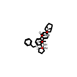 COc1cccc(C(=O)NC2CC3CCC(C2)N3c2ccc(C(=O)N[C@H]3CCC[C@@H]3OCc3ccccc3)cn2)c1C